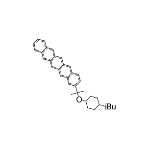 CCC(C)C1CCC(OC(C)(C)c2ccc3cc4cc5cc6ccccc6cc5cc4cc3c2)CC1